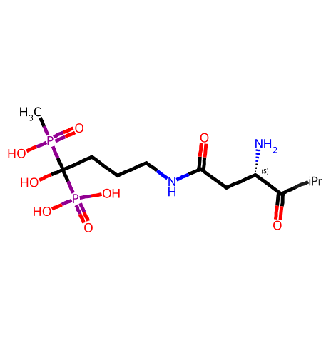 CC(C)C(=O)[C@@H](N)CC(=O)NCCCC(O)(P(C)(=O)O)P(=O)(O)O